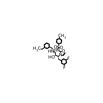 CCc1cccc(CNC[C@@H](O)[C@H](Cc2cc(F)cc(F)c2)N2C=COC2NS(=O)(=O)c2ccc(C)cc2)c1